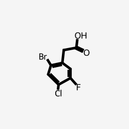 O=C(O)Cc1cc(F)c(Cl)cc1Br